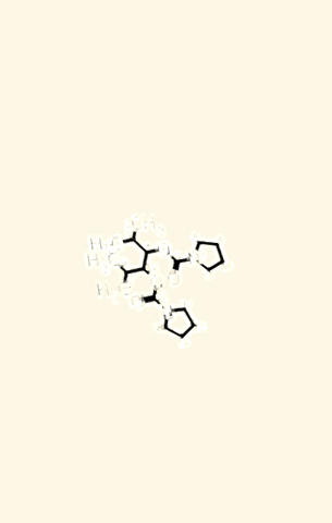 CC(C)C(OC(=O)N1CCCC1)C(OC(=O)N1CCCC1)C(C)C